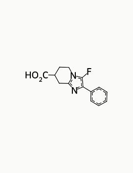 O=C(O)C1CCn2c(nc(-c3ccccc3)c2F)C1